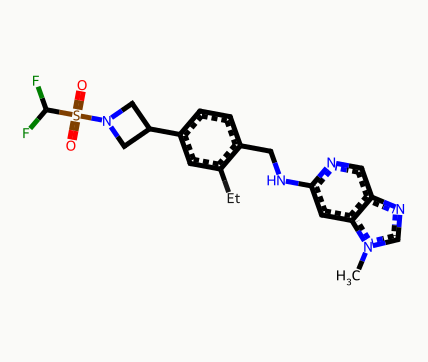 CCc1cc(C2CN(S(=O)(=O)C(F)F)C2)ccc1CNc1cc2c(cn1)ncn2C